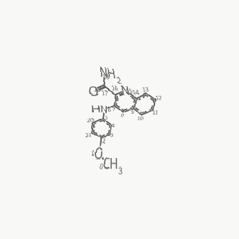 COc1ccc(Nc2cc3ccccc3nc2C(N)=O)cc1